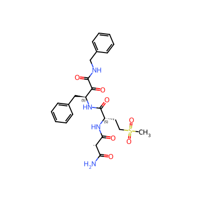 CS(=O)(=O)CC[C@H](NC(=O)[CH]C(N)=O)C(=O)N[C@@H](Cc1ccccc1)C(=O)C(=O)NCc1ccccc1